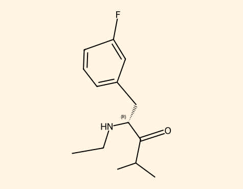 CCN[C@H](Cc1cccc(F)c1)C(=O)C(C)C